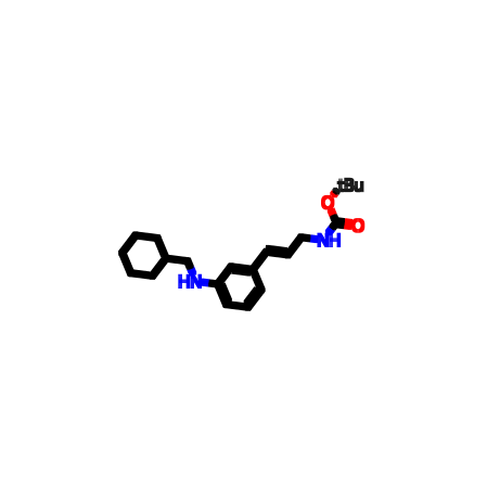 CC(C)(C)OC(=O)NCC=Cc1cccc(NCC2CCCCC2)c1